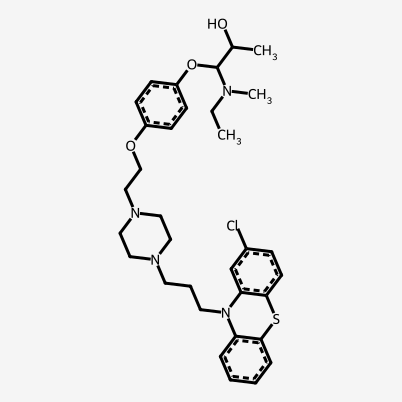 CCN(C)C(Oc1ccc(OCCN2CCN(CCCN3c4ccccc4Sc4ccc(Cl)cc43)CC2)cc1)C(C)O